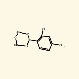 Cc1ccc(B2OBOBO2)c(C)c1